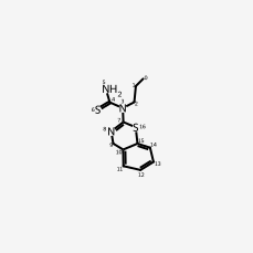 CCCN(C(N)=S)C1=NCc2ccccc2S1